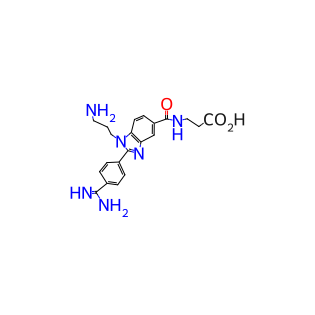 N=C(N)c1ccc(-c2nc3cc(C(=O)NCCC(=O)O)ccc3n2CCCN)cc1